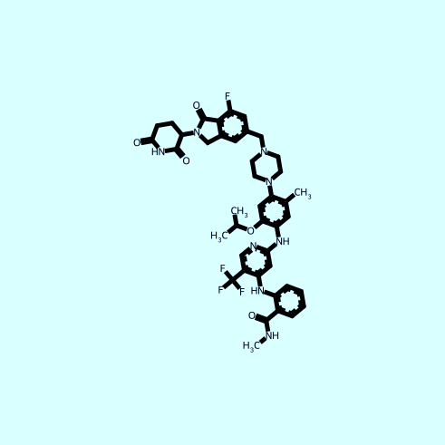 CNC(=O)c1ccccc1Nc1cc(Nc2cc(C)c(N3CCN(Cc4cc(F)c5c(c4)CN(C4CCC(=O)NC4=O)C5=O)CC3)cc2OC(C)C)ncc1C(F)(F)F